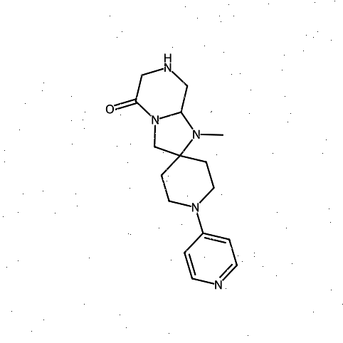 CN1C2CNCC(=O)N2CC12CCN(c1ccncc1)CC2